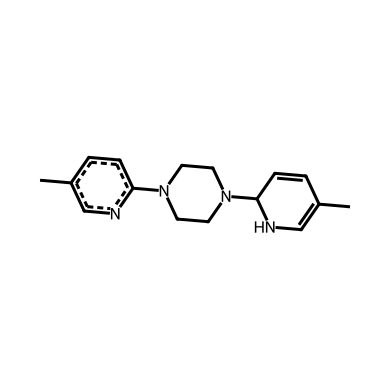 CC1=CNC(N2CCN(c3ccc(C)cn3)CC2)C=C1